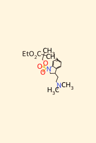 CCOC(=O)C(C)(C)COS(=O)(=O)N1CC(CCN(C)C)c2ccccc21